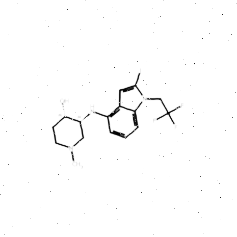 CN1CC[C@H](O)[C@@H](Nc2cccc3c2cc(I)n3CC(F)(F)F)C1